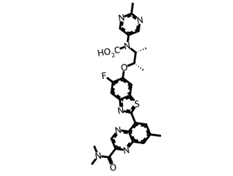 Cc1cc(-c2nc3cc(F)c(O[C@@H](C)[C@@H](C)N(C(=O)O)c4cnc(C)nc4)cc3s2)c2ncc(C(=O)N(C)C)nc2c1